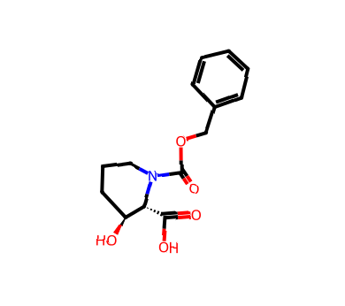 O=C(O)[C@@H]1[C@@H](O)CCCN1C(=O)OCc1ccccc1